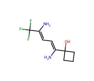 N/C(=C\C=C(/N)C1(O)CCC1)C(F)(F)F